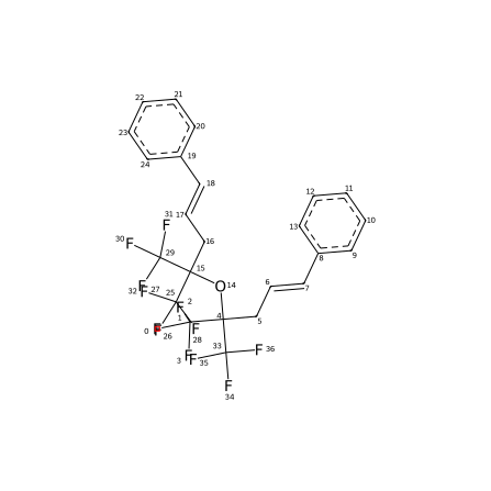 FC(F)(F)C(CC=Cc1ccccc1)(OC(CC=Cc1ccccc1)(C(F)(F)F)C(F)(F)F)C(F)(F)F